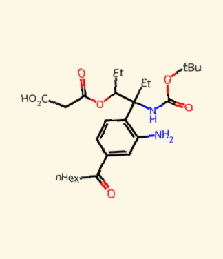 CCCCCCC(=O)c1ccc(C(CC)(NC(=O)OC(C)(C)C)C(CC)OC(=O)CC(=O)O)c(N)c1